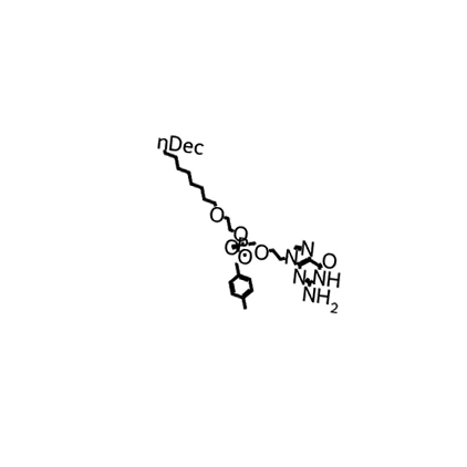 CCCCCCCCCCCCCCCCCCOCCOP(=O)(COCCn1cnc2c(=O)[nH]c(N)nc21)OCc1ccc(C)cc1